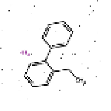 CCc1ccccc1-c1ccccc1.P